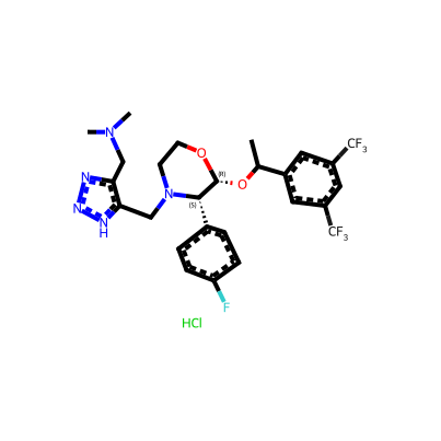 CC(O[C@H]1OCCN(Cc2[nH]nnc2CN(C)C)[C@H]1c1ccc(F)cc1)c1cc(C(F)(F)F)cc(C(F)(F)F)c1.Cl